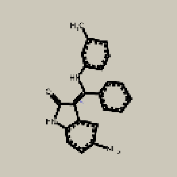 Cc1cccc(N/C(=C2\C(=O)Nc3ccc(N)cc32)c2ccccc2)c1